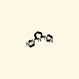 c1cc(-n2ccnc2)nc(-n2ccnc2)c1